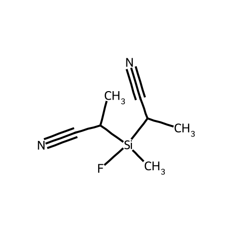 CC(C#N)[Si](C)(F)C(C)C#N